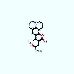 COC(=O)Cc1c(C)c2cc3c4c(c2oc1=O)CCCN4CCC3